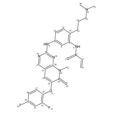 C=CC(=O)Nc1cc(Nc2ncc3cc(Oc4ccc(F)cc4F)c(=O)n(C)c3n2)ccc1CCCN(C)C